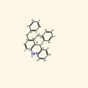 Nc1ccc(Cc2ccccc2)c(Cc2ccccc2)c1Cc1ccccc1